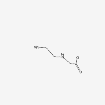 CCCCCNCC(=O)Cl